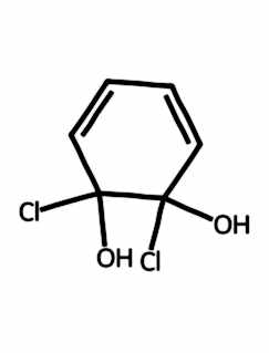 OC1(Cl)C=CC=CC1(O)Cl